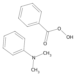 CN(C)c1ccccc1.O=C(OO)c1ccccc1